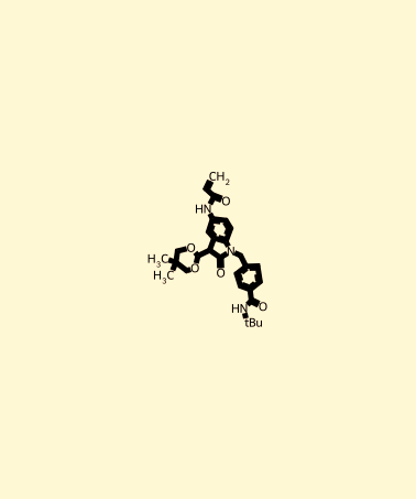 C=CC(=O)Nc1ccc2c(c1)C(C1OCC(C)(C)CO1)C(=O)N2Cc1ccc(C(=O)NC(C)(C)C)cc1